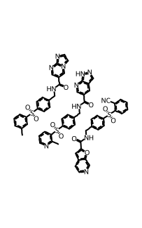 Cc1cccc(S(=O)(=O)c2ccc(CNC(=O)c3cnc4nccn4c3)cc2)c1.Cc1ncccc1S(=O)(=O)c1ccc(CNC(=O)c2cnc3[nH]ncc3c2)cc1.N#Cc1ccccc1S(=O)(=O)c1ccc(CNC(=O)c2cc3ccncc3o2)cc1